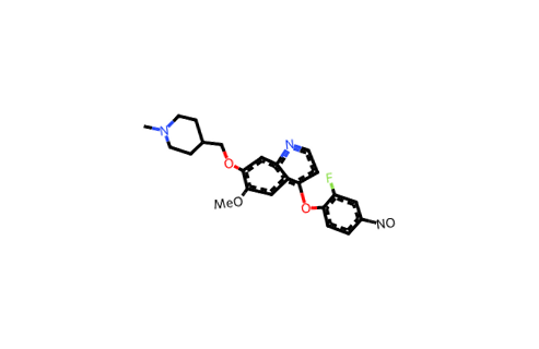 COc1cc2c(Oc3ccc(N=O)cc3F)ccnc2cc1OCC1CCN(C)CC1